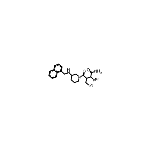 CCCC(C(N)=O)C(CC(C)C)C(=O)N1CCCC(NCc2cccc3ccccc23)C1